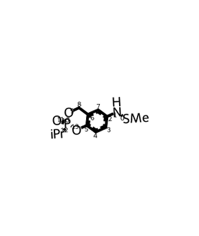 CSNc1ccc2c(c1)COP(=O)(C(C)C)O2